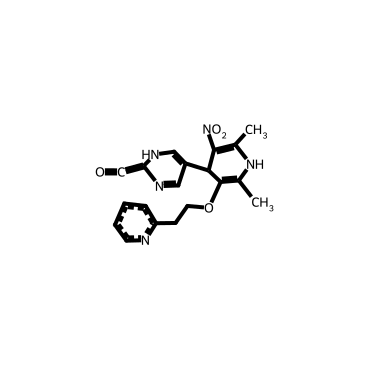 CC1=C(OCCc2ccccn2)C(C2=CNC(=C=O)N=C2)C([N+](=O)[O-])=C(C)N1